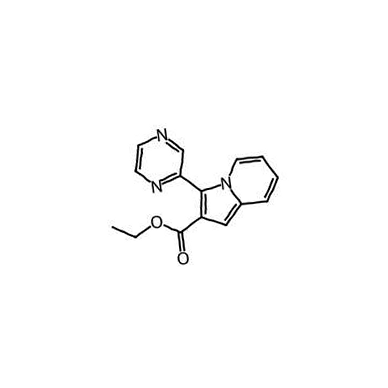 CCOC(=O)c1cc2ccccn2c1-c1cnccn1